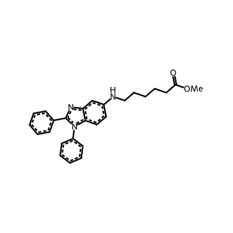 COC(=O)CCCCCNc1ccc2c(c1)nc(-c1ccccc1)n2-c1ccccc1